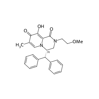 COCCN1C[C@H](C(c2ccccc2)c2ccccc2)n2cc(C)c(=O)c(O)c2C1=O